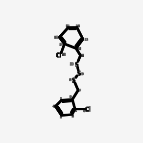 Clc1ccccc1CSSSCc1ccccc1Cl